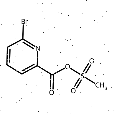 CS(=O)(=O)OC(=O)c1cccc(Br)n1